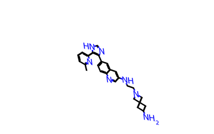 Cc1cccc(-c2[nH]cnc2-c2ccc3ncc(NCCN4CC5(CC(N)C5)C4)cc3c2)n1